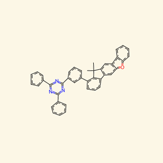 CC1(C)c2cc3c(cc2-c2cccc(-c4cccc(-c5nc(-c6ccccc6)nc(-c6ccccc6)n5)c4)c21)oc1ccccc13